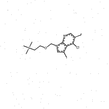 C[Si](C)(C)CCOCn1cc(I)c2c(Cl)c(F)cnc21